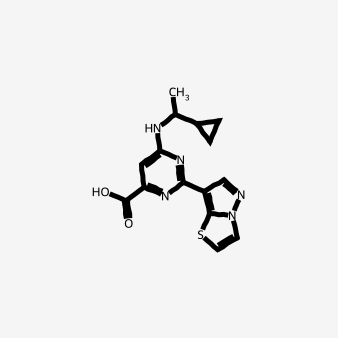 CC(Nc1cc(C(=O)O)nc(-c2cnn3ccsc23)n1)C1CC1